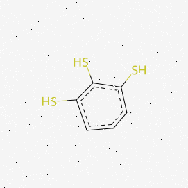 Sc1[c]ccc(S)c1S